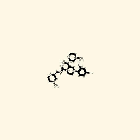 CN1CCO[C@@H](COC(=O)N2CCN(c3ccc(F)cc3F)CC2C(O)[C@H]2CN(C)CCO2)C1